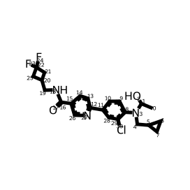 CC(O)N(CC1CC1)c1ccc(-c2ccc(C(=O)NCC3CC(F)(F)C3)cn2)cc1Cl